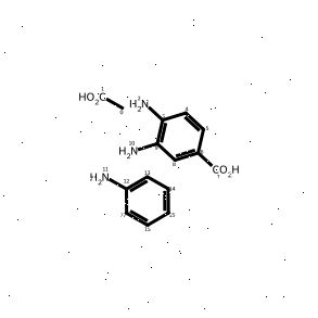 CC(=O)O.Nc1ccc(C(=O)O)cc1N.Nc1ccccc1